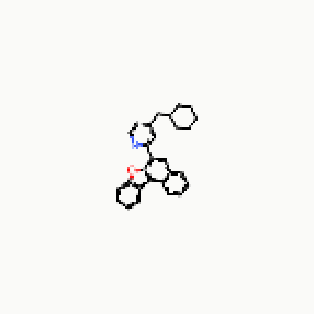 c1ccc2c(c1)cc(-c1cc(CC3CCCCC3)ccn1)c1oc3ccccc3c12